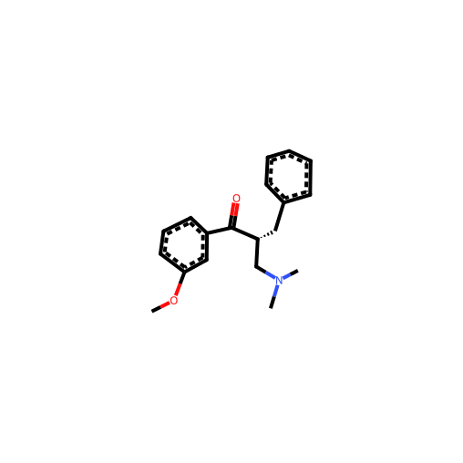 COc1cccc(C(=O)[C@H](Cc2ccccc2)CN(C)C)c1